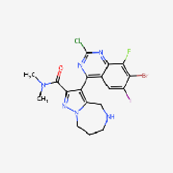 CN(C)C(=O)c1nn2c(c1-c1nc(Cl)nc3c(F)c(Br)c(I)cc13)CNCCC2